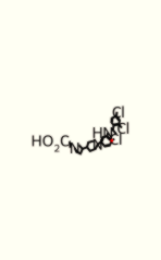 CC(Nc1cc(N2CCC(C3CCN(CCC(=O)O)C3)CC2)ccc1Cl)c1ccc(Cl)cc1Cl